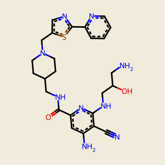 N#Cc1c(N)cc(C(=O)NCC2CCN(Cc3cnc(-c4ccccn4)s3)CC2)nc1NCC(O)CN